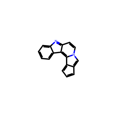 C1=Cc2cn3ccc4nc5ccccc5c4c3c2=C1